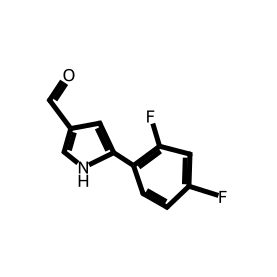 O=Cc1c[nH]c(-c2ccc(F)cc2F)c1